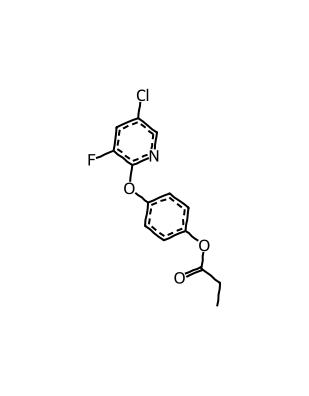 CCC(=O)Oc1ccc(Oc2ncc(Cl)cc2F)cc1